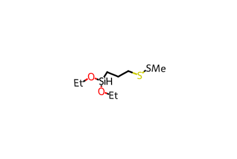 CCO[SiH](CCCSSC)OCC